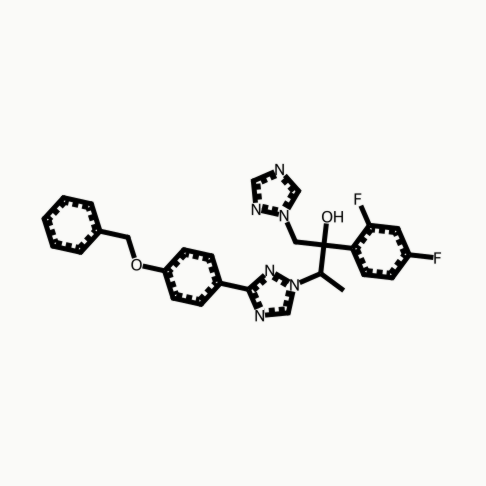 CC(n1cnc(-c2ccc(OCc3ccccc3)cc2)n1)C(O)(Cn1cncn1)c1ccc(F)cc1F